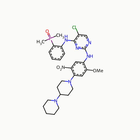 COc1cc(N2CCC(N3CCCCC3)CC2)c([N+](=O)[O-])cc1Nc1ncc(Cl)c(Nc2ccccc2P(C)(C)=O)n1